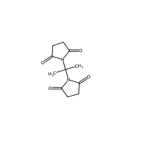 CC(C)(N1C(=O)CCC1=O)N1C(=O)CCC1=O